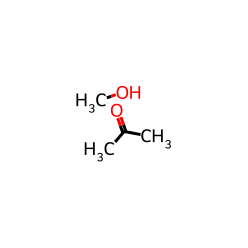 CC(C)=O.CO